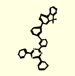 CC1(C)c2ccccc2-c2ccc(-c3cccc(C4=CC(c5nc(C6=CCCC=C6)nc(C6=CC=CCC6)n5)=CCC4)c3)cc21